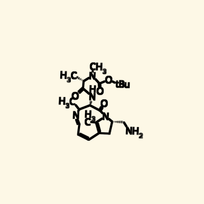 CC1=C2/C=C\C=N\C(C)[C@H](NC(=O)[C@H](C)N(C)C(=O)OC(C)(C)C)C(=O)N1[C@H](CN)C2